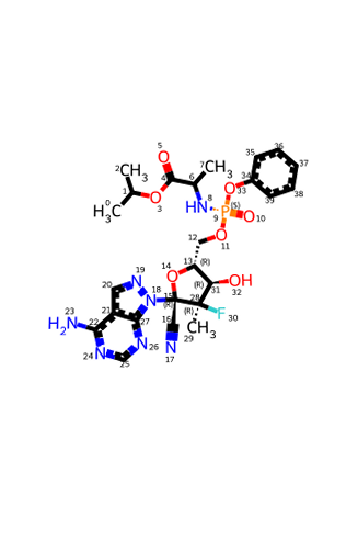 CC(C)OC(=O)C(C)N[P@](=O)(OC[C@H]1O[C@@](C#N)(n2ncc3c(N)ncnc32)[C@](C)(F)[C@@H]1O)Oc1ccccc1